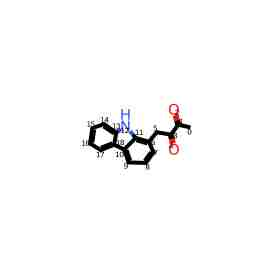 CC(=O)C(=O)Cc1cccc2c1[nH]c1ccccc12